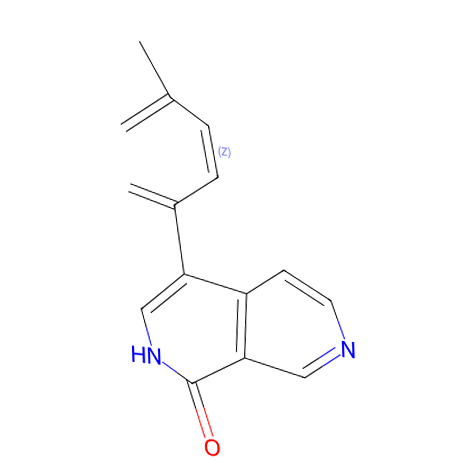 C=C(C)/C=C\C(=C)c1c[nH]c(=O)c2cnccc12